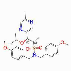 COc1ccc(CN(Cc2ccc(OC)cc2)S(=O)(=O)[C@@H](C)[C@@H](OC(C)C)c2cnc(C)cn2)cc1